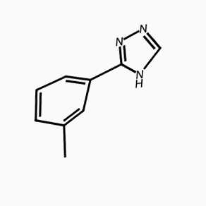 Cc1cccc(-c2nnc[nH]2)c1